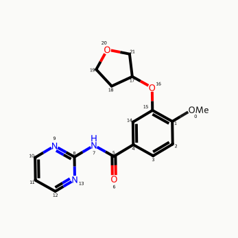 COc1ccc(C(=O)Nc2ncccn2)cc1OC1CCOC1